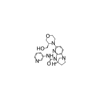 O=C(Nc1cccnc1)N1c2nc(N3CCOC[C@@H]3CO)ccc2N2CC[C@H]1C2